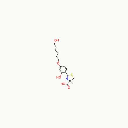 CC1(C(=O)O)CSC(c2ccc(OCCCCCCO)cc2O)=N1